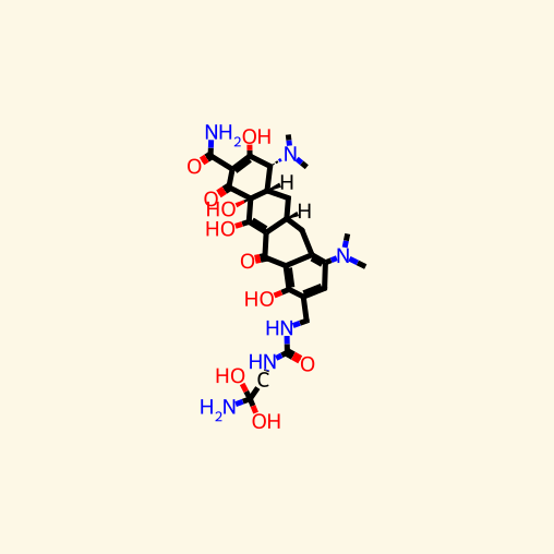 CN(C)c1cc(CNC(=O)NCC(N)(O)O)c(O)c2c1C[C@H]1C[C@H]3[C@@H](N(C)C)C(O)=C(C(N)=O)C(=O)[C@@]3(O)C(O)=C1C2=O